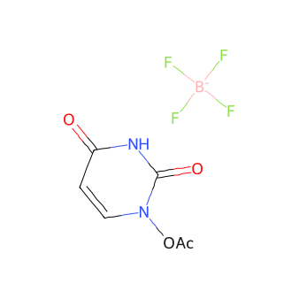 CC(=O)On1ccc(=O)[nH]c1=O.F[B-](F)(F)F